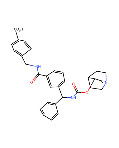 O=C(NC(c1ccccc1)c1cccc(C(=O)NCc2ccc(C(=O)O)cc2)c1)OC1CN2CCC1CC2